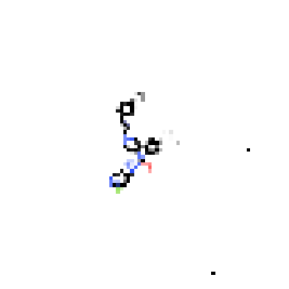 N#Cc1ccc(/C=C/CN2CCc3c(c4cc(C(F)(F)F)ccc4n3C(=O)NCc3ccnc(F)c3)C2)cc1